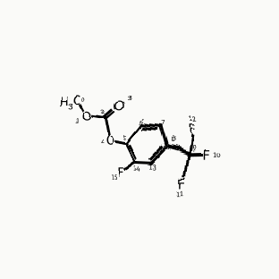 COC(=O)Oc1ccc(C(F)(F)F)cc1F